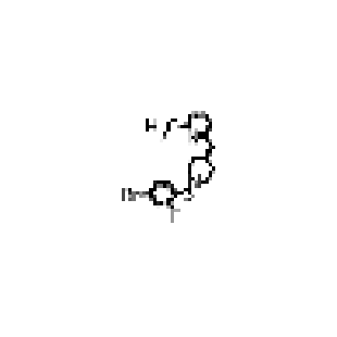 Cc1cccc(C=C2CCN(Sc3ccc(Br)cc3F)CC2)n1